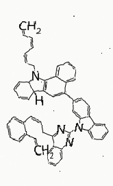 C=C/C=C\C=C/CN1c2c(cc(-c3ccc4c5ccccc5n(-c5nc(C/C=C\c6ccccc6C=C)c6ccccc6n5)c4c3)c3ccccc23)[C@@H]2C=CC=CC21